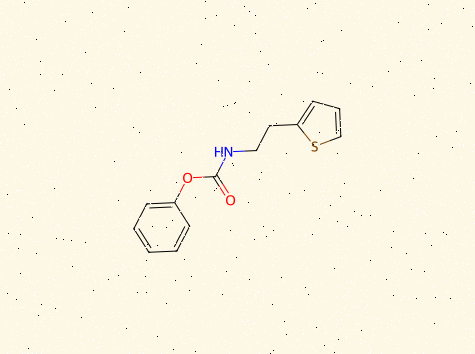 O=C(NCCc1cccs1)Oc1ccccc1